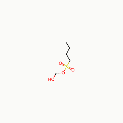 CCCCS(=O)(=O)OCO